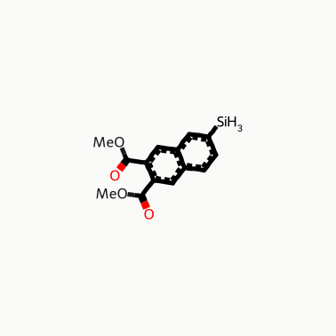 COC(=O)c1cc2ccc([SiH3])cc2cc1C(=O)OC